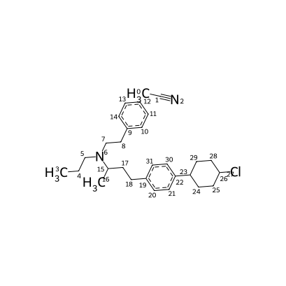 CC#N.CCCN(CCc1ccccc1)C(C)CCc1ccc(C2CCC(Cl)CC2)cc1